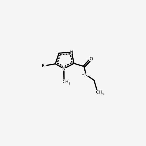 CCNC(=O)c1ncc(Br)n1C